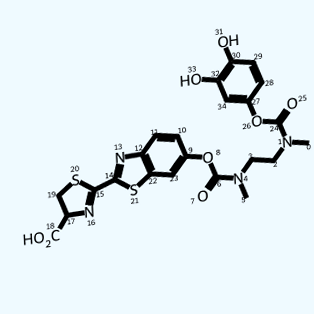 CN(CCN(C)C(=O)Oc1ccc2nc(C3=NC(C(=O)O)CS3)sc2c1)C(=O)Oc1ccc(O)c(O)c1